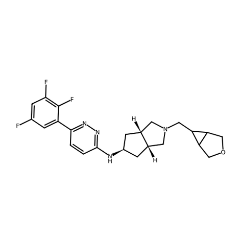 Fc1cc(F)c(F)c(-c2ccc(N[C@H]3C[C@@H]4CN(CC5C6COCC65)C[C@@H]4C3)nn2)c1